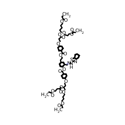 C=CC(=O)OCCCCCOC(CCOc1ccc(C(=O)OCCc2ccc(OC(=O)c3ccc(OCCC(COCCCCOC(=O)C=C)OC(=O)CCOC(=O)C=C)cc3)c(/C=N/Nc3nc4ccccc4s3)c2)cc1)OC(=O)CCOC(=O)C=C